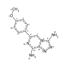 COc1ccc(-c2cn3c(N)nnc3c(N)n2)cc1